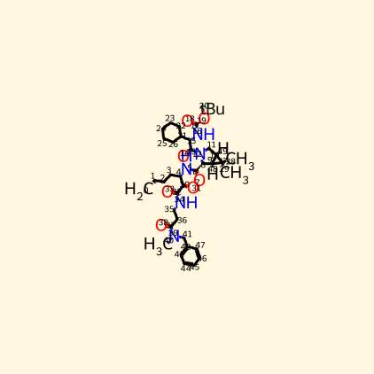 C=CCCC(NC(=O)[C@@H]1[C@@H]2[C@H](CN1C(=O)[C@@H](NC(=O)OC(C)(C)C)C1CCCCC1)C2(C)C)C(=O)C(=O)NCCC(=O)N(C)Cc1ccccc1